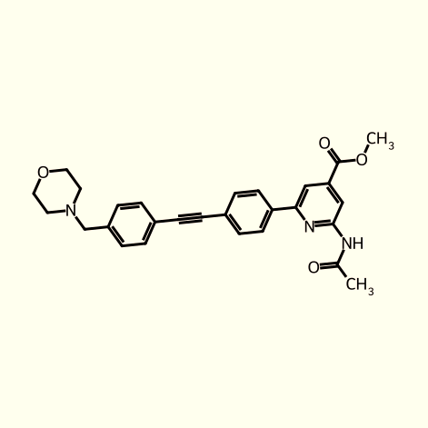 COC(=O)c1cc(NC(C)=O)nc(-c2ccc(C#Cc3ccc(CN4CCOCC4)cc3)cc2)c1